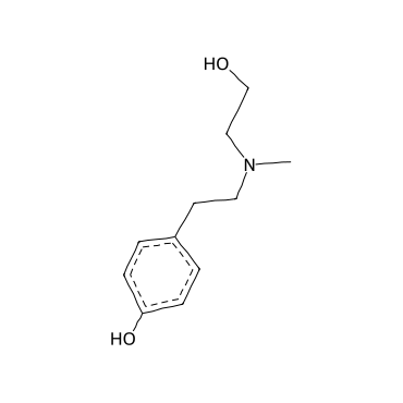 CN(CCO)CCc1ccc(O)cc1